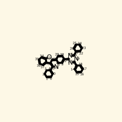 C1=CCCC(c2nc3cc(-c4nc(-c5ccccc5)nc(-c5ccccc5)n4)ccc3c3oc4ccccc4c23)=C1